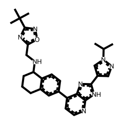 CC(C)n1cc(-c2nc3c(-c4ccc5c(c4)CCCC5NCc4nc(C(C)(C)C)no4)ccnc3[nH]2)cn1